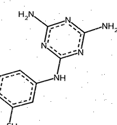 Nc1nc(N)nc(Nc2cccc(S)c2)n1